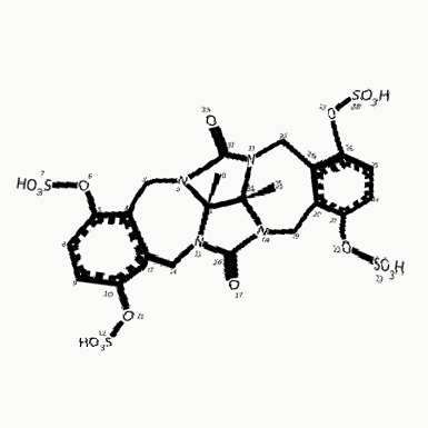 C[C@]12N3Cc4c(OS(=O)(=O)O)ccc(OS(=O)(=O)O)c4CN1C(=O)N1Cc4c(OS(=O)(=O)O)ccc(OS(=O)(=O)O)c4CN(C3=O)[C@]12C